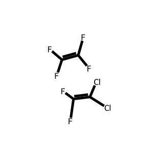 FC(F)=C(Cl)Cl.FC(F)=C(F)F